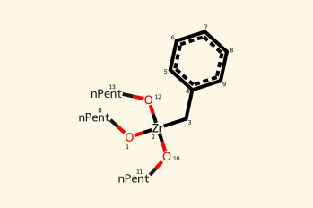 CCCCC[O][Zr]([CH2]c1ccccc1)([O]CCCCC)[O]CCCCC